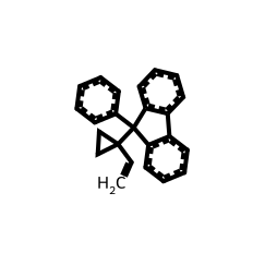 C=CC1(C2(c3ccccc3)c3ccccc3-c3ccccc32)CC1